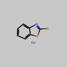 [Cu+].[S-]c1nc2ccccc2s1